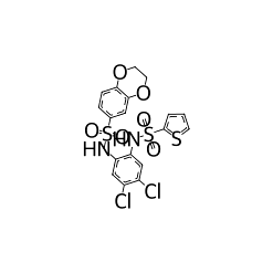 O=S(=O)(Nc1cc(Cl)c(Cl)cc1NS(=O)(=O)c1cccs1)c1ccc2c(c1)OCCO2